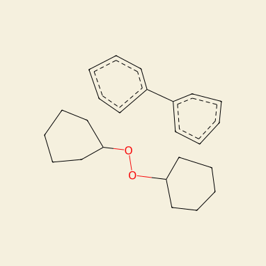 C1CCC(OOC2CCCCC2)CC1.c1ccc(-c2ccccc2)cc1